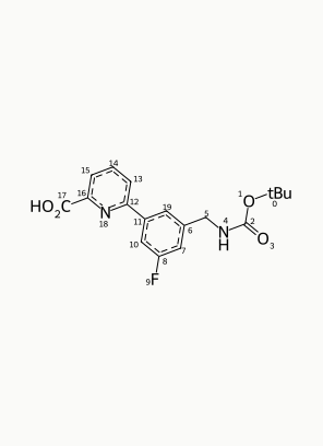 CC(C)(C)OC(=O)NCc1cc(F)cc(-c2cccc(C(=O)O)n2)c1